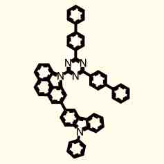 c1ccc(-c2ccc(-c3nc(-c4ccc(-c5ccccc5)cc4)nc(-n4c5cccc6ccc7cc(-c8ccc9c(c8)c8ccccc8n9-c8ccccc8)cc4c7c65)n3)cc2)cc1